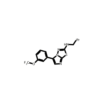 CC(C)CNc1nn2c(-c3cccc(OC(F)(F)F)c3)cnc2s1